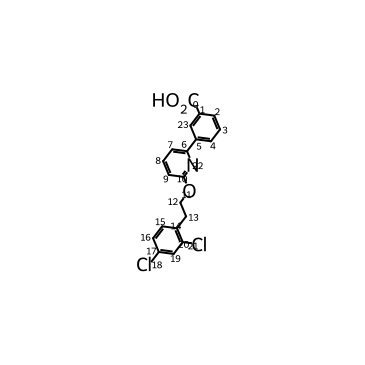 O=C(O)c1cccc(-c2cccc(OCCc3ccc(Cl)cc3Cl)n2)c1